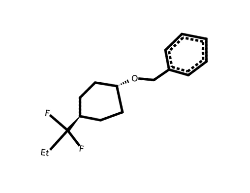 CCC(F)(F)[C@H]1CC[C@H](OCc2ccccc2)CC1